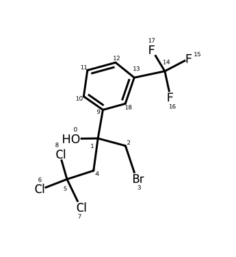 OC(CBr)(CC(Cl)(Cl)Cl)c1cccc(C(F)(F)F)c1